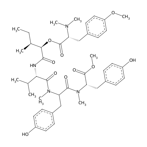 CC[C@H](C)[C@@H](OC(=O)[C@@H](Cc1ccc(OC)cc1)N(C)C)C(=O)N[C@H](C(=O)N(C)C(Cc1ccc(O)cc1)C(=O)N(C)[C@@H](Cc1ccc(O)cc1)C(=O)OC)C(C)C